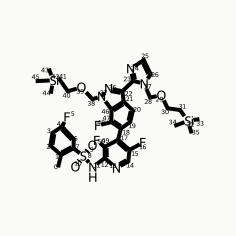 Cc1ccc(F)cc1S(=O)(=O)Nc1ncc(F)c(-c2ccc3c(-c4nccn4COCC[Si](C)(C)C)nn(COCC[Si](C)(C)C)c3c2F)c1F